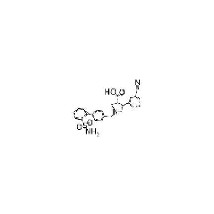 N#Cc1cccc([C@H]2CN(Cc3ccc(-c4ccccc4S(N)(=O)=O)cc3)C[C@@H]2C(=O)O)c1